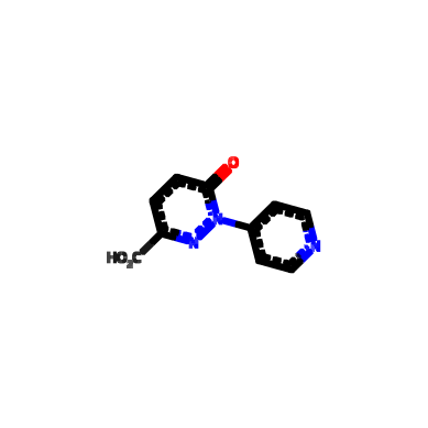 O=C(O)c1ccc(=O)n(-c2ccncc2)n1